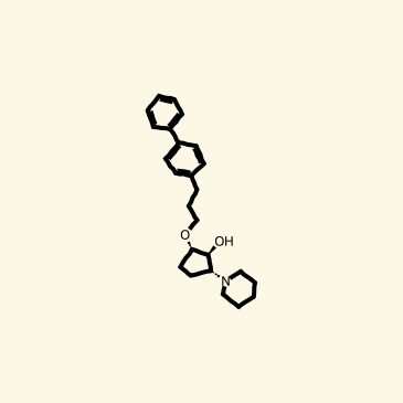 O[C@@H]1[C@@H](OCCCc2ccc(-c3ccccc3)cc2)CC[C@H]1N1CCCCC1